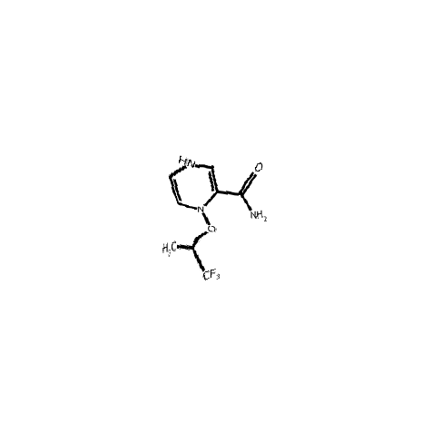 CC(ON1C=CNC=C1C(N)=O)C(F)(F)F